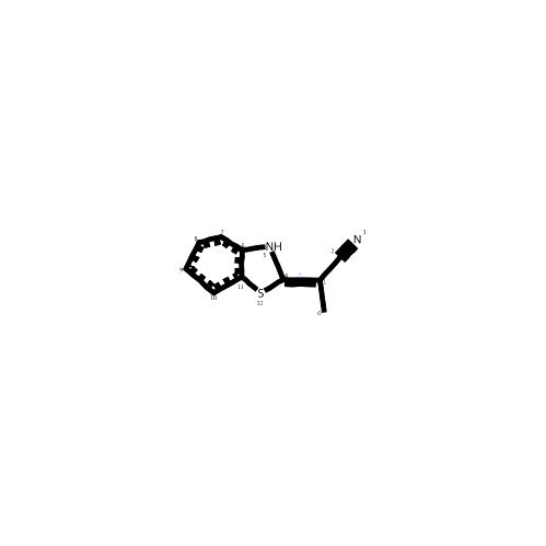 C/C(C#N)=C1/Nc2ccccc2S1